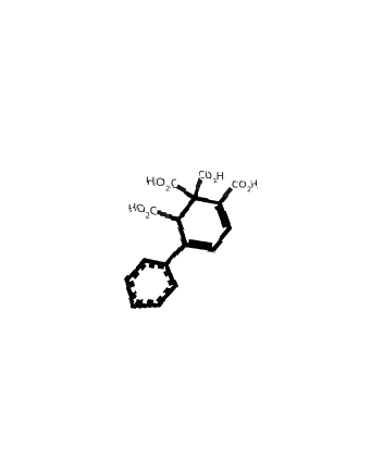 O=C(O)C1=CC=C(c2ccccc2)C(C(=O)O)C1(C(=O)O)C(=O)O